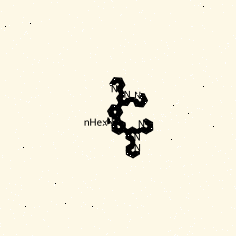 CCCCCCn1c2ccc(-c3cc(-c4ccccn4)nc(-c4ccccn4)c3)cc2c2cc(-c3cc(-c4ccccn4)nc(-c4ccccn4)c3)ccc21